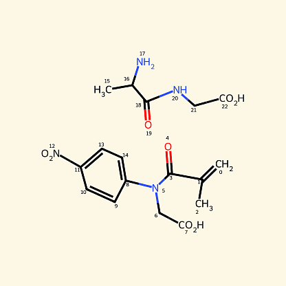 C=C(C)C(=O)N(CC(=O)O)c1ccc([N+](=O)[O-])cc1.CC(N)C(=O)NCC(=O)O